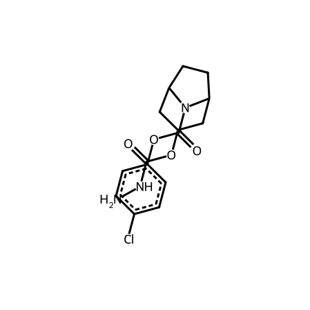 NNC(=O)OC1CC2CCC(C1)N2C(=O)Oc1ccc(Cl)cc1